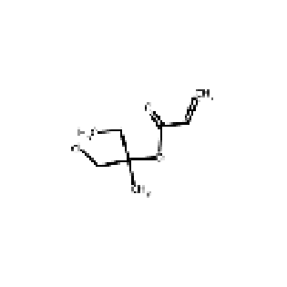 C=CC(=O)OC(C)(CC)CCl